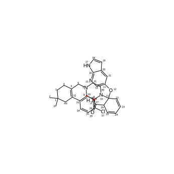 CC1(C)CCC(CN2CCN(C3(Oc4cnc5[nH]ccc5c4)C=CC=CC3C(N)=O)CC2)=C(c2ccc(Cl)cc2)C1